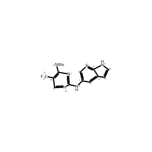 CNc1nc(Nc2cnc3[nH]ccc3c2)ncc1C(F)(F)F